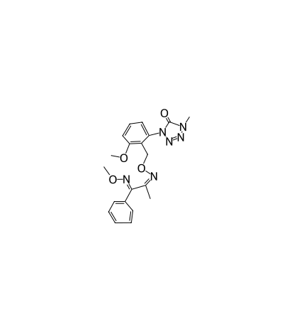 CON=C(C(C)=NOCc1c(OC)cccc1-n1nnn(C)c1=O)c1ccccc1